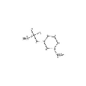 CSC(C)(C)CC1CCCC(NC(C)=O)C1